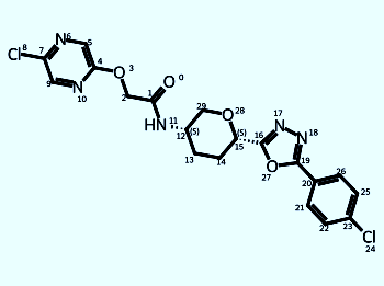 O=C(COc1cnc(Cl)cn1)N[C@H]1CC[C@@H](c2nnc(-c3ccc(Cl)cc3)o2)OC1